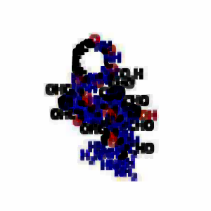 C[C@@H]1NC(=O)C(C)(C)CCC/C=C\CCC[C@@](C)(C(=O)N[C@@H](N[C@@H](C=O)Cc2ccccc2)C(=O)N[C@@H](N[C@@H](C=O)CC(N)=O)C(=O)NC(N[C@@H](C)C=O)C(=O)N[C@@H](N[C@@H](C=O)Cc2ccccc2)C(=O)N[C@H](N[C@@H](C=O)Cc2ccc(O)cc2)C(=O)N[C@@H](N[C@@H](C)C=O)C(=O)N[C@@H](N[C@@H](C=O)CCCNC(=N)N)C(=O)N[C@@H](N[C@@H](C=O)CCCNC(=N)N)C(N)=O)NC(=O)[C@H](N[C@@H](C=O)CC(=O)O)NC(=O)CNC1=O